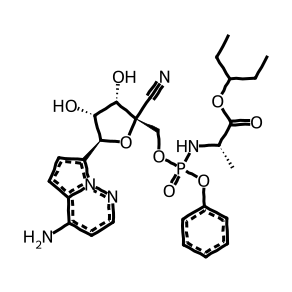 CCC(CC)OC(=O)[C@H](C)NP(=O)(OC[C@@]1(C#N)O[C@@H](c2ccc3c(N)ccnn23)[C@H](O)[C@@H]1O)Oc1ccccc1